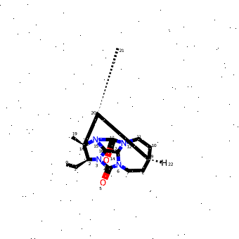 CC[C@@H]1N2C(=O)N3CC[C@@H]4CCN5C(=O)N(C2C35)[C@@]1(C)[C@@H]4C